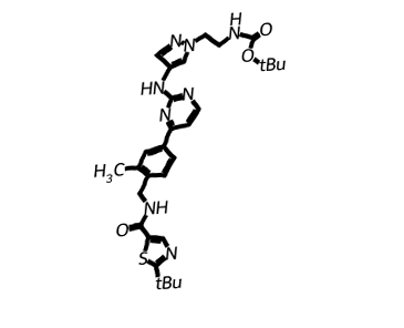 Cc1cc(-c2ccnc(Nc3cnn(CCNC(=O)OC(C)(C)C)c3)n2)ccc1CNC(=O)c1cnc(C(C)(C)C)s1